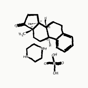 C1CNCCN1.C[C@]12CC[C@@H]3c4ccccc4CC[C@H]3[C@@H]1CCC2=O.O=S(=O)(O)O